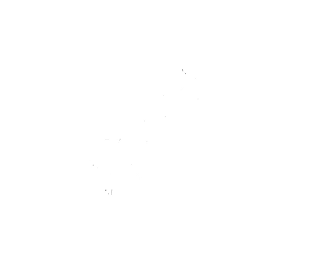 NC(=O)CCCCC(O)C(O)C(N)=O